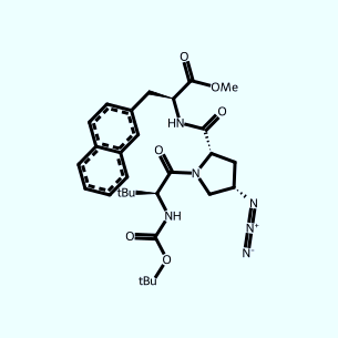 COC(=O)[C@H](Cc1ccc2ccccc2c1)NC(=O)[C@@H]1C[C@H](N=[N+]=[N-])CN1C(=O)[C@@H](NC(=O)OC(C)(C)C)C(C)(C)C